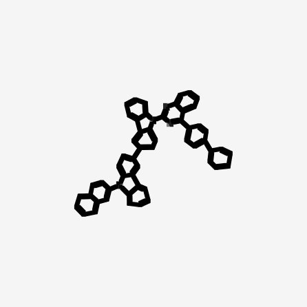 c1ccc(-c2ccc(-c3nc(-n4c5ccccc5c5cc(-c6ccc7c(c6)c6ccccc6n7-c6ccc7ccccc7c6)ccc54)nc4ccccc34)cc2)cc1